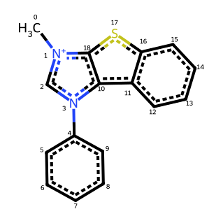 C[n+]1cn(-c2ccccc2)c2c3ccccc3sc21